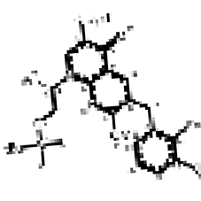 CCOC(=O)c1cn([C@H](CO[Si](C)(C)C(C)(C)C)C(C)C)c2nc(OC)c(Cc3cccc(Cl)c3F)cc2c1=O